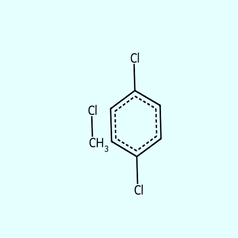 CCl.Clc1ccc(Cl)cc1